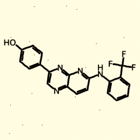 Oc1ccc(-c2cnc3ccc(Nc4ccccc4C(F)(F)F)nc3n2)cc1